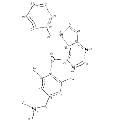 Cc1cc(CN(C)C)cc(C)c1Oc1ncnc2ccn(Cc3ccccc3)c12